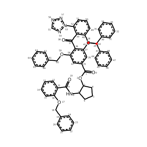 O=C(OC1CCCC1NC(=O)c1ccccc1OCc1ccccc1)c1cc(OCc2ccccc2)c(C(=O)c2c(OCc3ccccc3)cccc2-n2ncnn2)c(OCc2ccccc2)c1